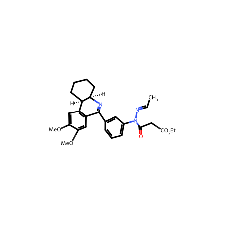 CC=NN(C(=O)CC(=O)OCC)c1cccc(C2=N[C@@H]3CCCC[C@@H]3c3cc(OC)c(OC)cc32)c1